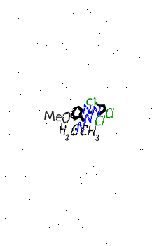 COc1ccc2nc(-n3c(Cl)cc(Cl)c3Cl)nc(N(C)C)c2c1